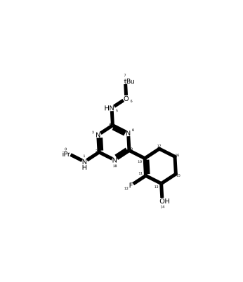 CC(C)Nc1nc(NOC(C)(C)C)nc(C2=C(F)C(O)CCC2)n1